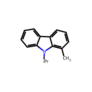 Cc1cccc2c3ccccc3n(C(C)C)c12